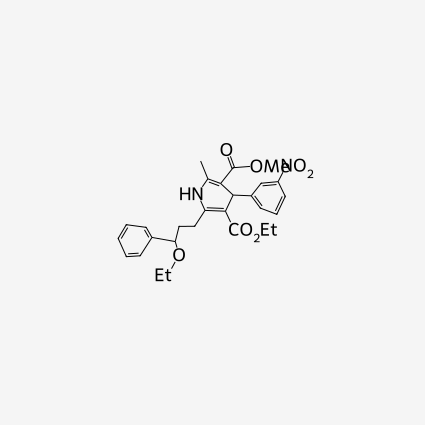 CCOC(=O)C1=C(CCC(OCC)c2ccccc2)NC(C)=C(C(=O)OC)C1c1cccc([N+](=O)[O-])c1